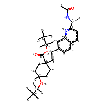 CC(=O)N[C@H](C)c1ccc2ccc(/C=C/C3(C(=O)O[Si](C)(C)C(C)(C)C)CCC(C)(O[Si](C)(C)C(C)(C)C)CC3)cc2n1